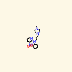 CN1CCN(CCCN(c2ccccc2)c2ncccc2[N+](=O)[O-])CC1